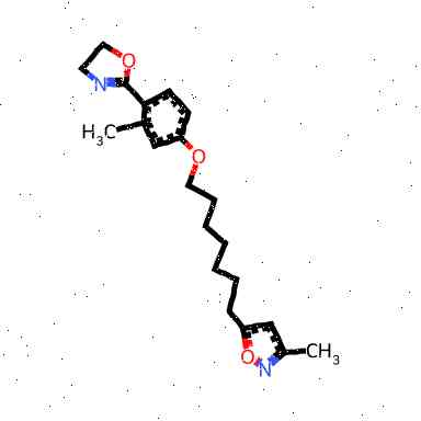 Cc1cc(CCCCCCCOc2ccc(C3=NCCO3)c(C)c2)on1